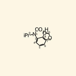 CC(C)N(C(=O)O)c1cccc2c1OCO2